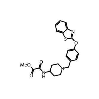 COC(=O)C(=O)NC1CCN(Cc2ccc(Oc3nc4ccccc4s3)cc2)CC1